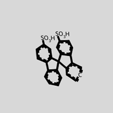 O=S(=O)(O)c1ccc2c(c1)C1(c3ccccc3-2)c2ccccc2-c2ccc(S(=O)(=O)O)cc21